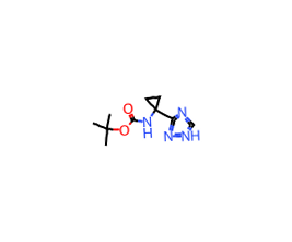 CC(C)(C)OC(=O)NC1(c2nc[nH]n2)CC1